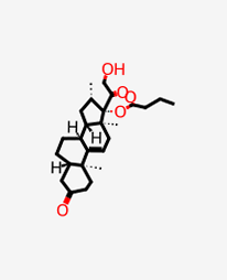 CCCC(=O)O[C@@]1(C(=O)CO)[C@@H](C)C[C@H]2[C@@H]3CC[C@H]4CC(=O)CC[C@]4(C)C3=CC[C@@]21C